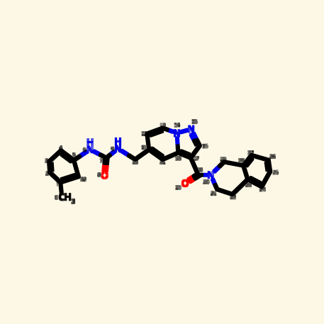 Cc1cccc(NC(=O)NCc2ccn3ncc(C(=O)N4CCc5ccccc5C4)c3c2)c1